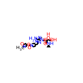 CN1CC(OC(=O)N2CCC(Cc3nc(N)c4ncn(CO[C@H](C(=O)NC5CC5)C(O)CO)c4n3)CC2)CC1=O